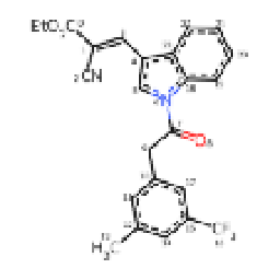 CCOC(=O)/C(C#N)=C/c1cn(C(=O)Cc2cc(C)cc(C(F)(F)F)c2)c2ccccc12